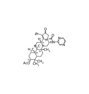 CC(=O)O[C@H]1CC[C@@]2(C)C(CC[C@]3(C)C2CC[C@@H]2C4=C(C(C)C)C(=O)C[C@]4(C(=O)Nc4cnccn4)CC[C@]23C)C1(C)C